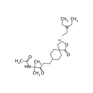 CCN(CC)CC[C@H]1CC2(CCC(CCC(=O)C(C)(C)NC(C)=O)CC2)C(=O)O1